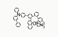 C[C@@H]1Oc2c(ccc3ccccc23)-c2cc(-c3ccc(N(c4ccccc4)c4cccc(-c5ccccc5)c4)cc3)ccc2-c2ccccc2-c2ccc3ccccc3c21